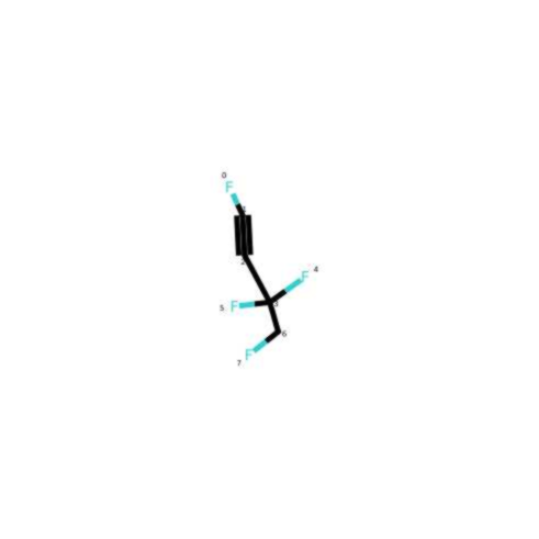 FC#CC(F)(F)CF